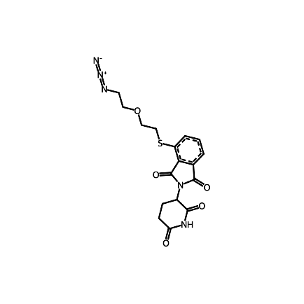 [N-]=[N+]=NCCOCCSc1cccc2c1C(=O)N(C1CCC(=O)NC1=O)C2=O